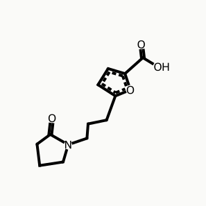 O=C(O)c1ccc(CCCN2CCCC2=O)o1